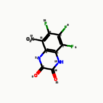 O=C1[N]c2c(c(F)c(F)c(F)c2[N+](=O)[O-])NC1=O